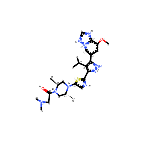 COc1cc(-c2[nH]nc(-c3ncc(N4C[C@H](C)N(C(=O)CN(C)C)C[C@H]4C)s3)c2C(C)C)cn2ncnc12